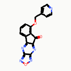 O=C1c2nc3nonc3nc2-c2cccc(OCc3ccncc3)c21